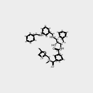 Cc1csc(CN(C)C(=O)c2cccc(C(=O)N[C@@H](Cc3ccccc3)[C@H](O)CNCc3cccc(NCc4ccccc4)c3)c2)n1